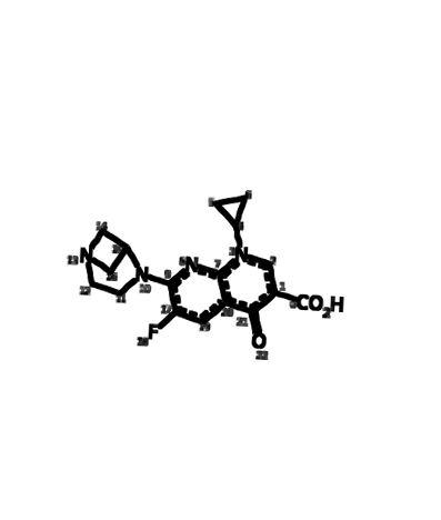 O=C(O)c1cn(C2CC2)c2nc(N3CCN4CC3C4)c(F)cc2c1=O